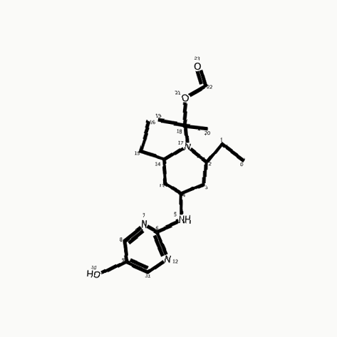 CCC1CC(Nc2ncc(O)cn2)CC(CC)N1C(C)(C)OC=O